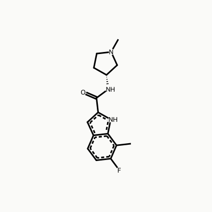 Cc1c(F)ccc2cc(C(=O)N[C@@H]3CCN(C)C3)[nH]c12